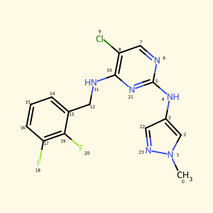 Cn1cc(Nc2ncc(Cl)c(NCc3cccc(F)c3F)n2)cn1